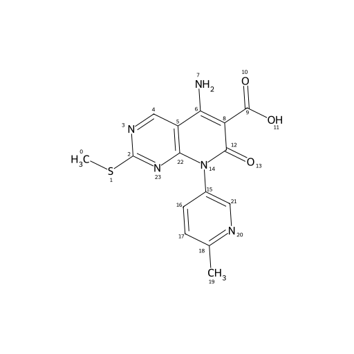 CSc1ncc2c(N)c(C(=O)O)c(=O)n(-c3ccc(C)nc3)c2n1